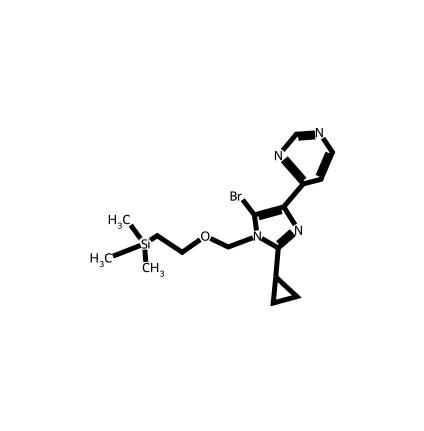 C[Si](C)(C)CCOCn1c(C2CC2)nc(-c2ccncn2)c1Br